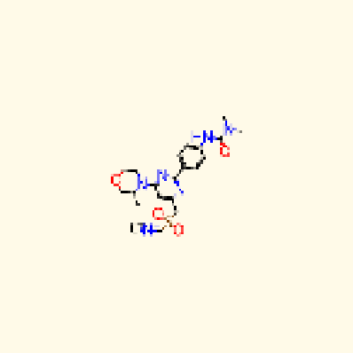 [C-]#[N+]CS(=O)(=O)Cc1cc(N2CCOC[C@@H]2C)nc(-c2ccc(NC(=O)N(C)C)cc2)n1